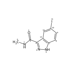 CNC(=O)c1n[nH]c2ccc(I)cc12